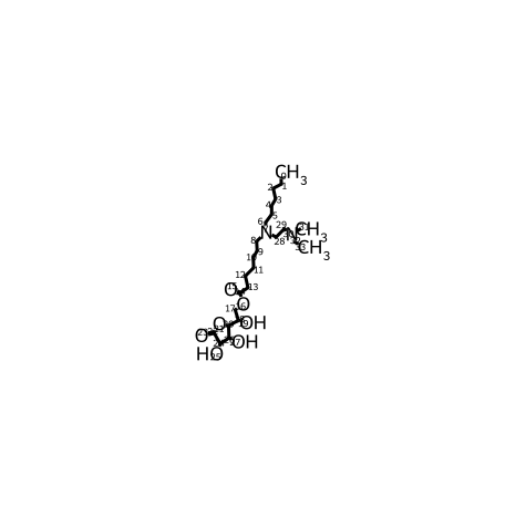 CCCCCCCN(CCCCCCC(=O)OCC(O)C1OC(=O)C(O)C1O)CCN(C)CC